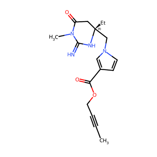 CC#CCOC(=O)c1ccn(C[C@@]2(CC)CC(=O)N(C)C(=N)N2)c1